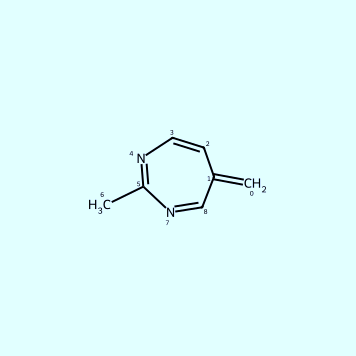 C=C1C=CN=C(C)N=C1